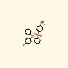 O=S(=O)(OS(c1ccccc1)(c1ccccc1)c1ccc(F)cc1)c1ccc(C(F)(F)F)cc1